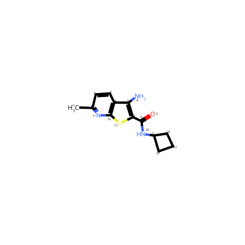 Cc1ccc2c(N)c(C(=O)NC3CCC3)sc2n1